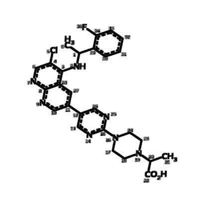 CC(Nc1c(Cl)cnc2ncc(-c3cnc(N4CCN(C(C)C(=O)O)CC4)nc3)cc12)c1ccccc1F